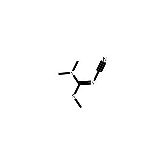 CSC(=NC#N)N(C)C